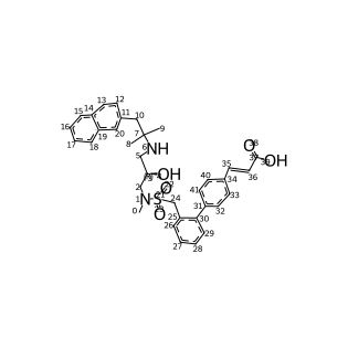 CN(C[C@H](O)CNC(C)(C)Cc1ccc2ccccc2c1)S(=O)(=O)Cc1ccccc1-c1ccc(C=CC(=O)O)cc1